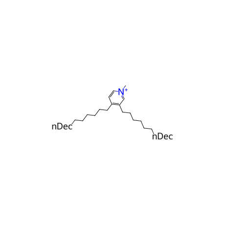 CCCCCCCCCCCCCCCCc1cc[n+](C)cc1CCCCCCCCCCCCCCCC